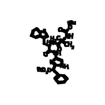 CCOC(=O)C(c1ccccc1)c1nc(NC(=O)[C@@H](Cc2csc3ccccc23)NC(=O)C(C)(C)NC(=O)OC(C)(C)C)c[nH]1